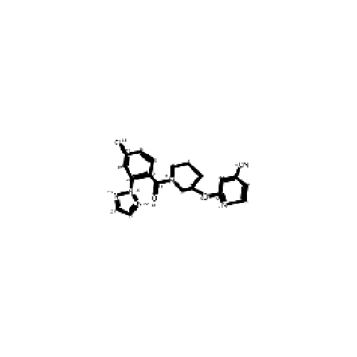 N#Cc1ccnc(OC2CCCN(C(=O)c3ccc(Cl)cc3-n3nccn3)C2)c1